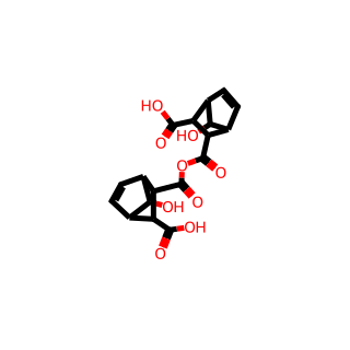 O=C(O)C1C2C=CC(C2O)C1C(=O)OC(=O)C1C2C=CC(C2O)C1C(=O)O